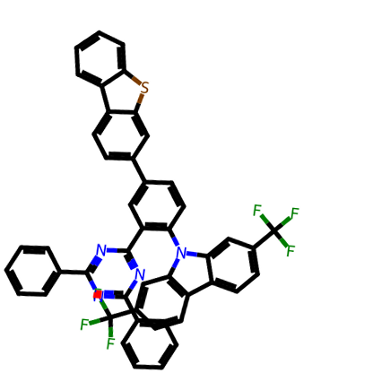 FC(F)(F)c1ccc2c3ccc(C(F)(F)F)cc3n(-c3ccc(-c4ccc5c(c4)sc4ccccc45)cc3-c3nc(-c4ccccc4)nc(-c4ccccc4)n3)c2c1